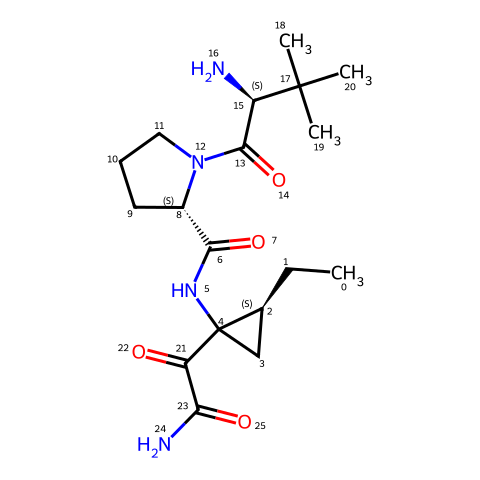 CC[C@H]1CC1(NC(=O)[C@@H]1CCCN1C(=O)[C@@H](N)C(C)(C)C)C(=O)C(N)=O